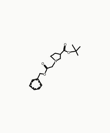 CC(C)(C)OC(=O)C1CCN(CC(=O)OCc2ccccc2)C1